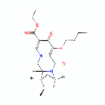 CCCCOc1c2n(cc(C(=O)OCC)c1=O)C[C@H]1[C@H]3C[C@H](C[C@H]3C)N1C2=O